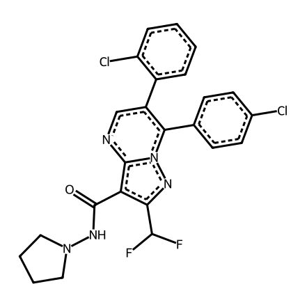 O=C(NN1CCCC1)c1c(C(F)F)nn2c(-c3ccc(Cl)cc3)c(-c3ccccc3Cl)cnc12